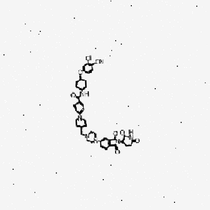 N#Cc1ccc(OC2CCC(NC(=O)c3ccc(N4CCC(CN5CCN(c6ccc7c(c6)C(=O)N(C6CCC(=O)NC6=O)C7=O)CC5)CC4)cc3)CC2)cc1Cl